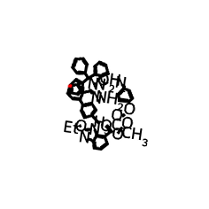 C=NN(/C(=N\N)c1ccccc1-c1ccc(Cn2c(OCC)nc3cccc(C(=O)OC(C)(C)OC(=O)Oc4ccc([N+](=O)[O-])cc4)c32)cc1)C(c1ccccc1)(c1ccccc1)c1ccccc1